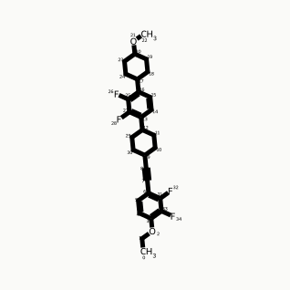 CCOc1ccc(C#CC2CCC(c3ccc(C4CCC(OC)CC4)c(F)c3F)CC2)c(F)c1F